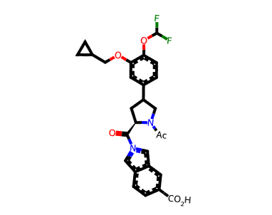 CC(=O)N1CC(c2ccc(OC(F)F)c(OCC3CC3)c2)C[C@@H]1C(=O)n1cc2ccc(C(=O)O)cc2c1